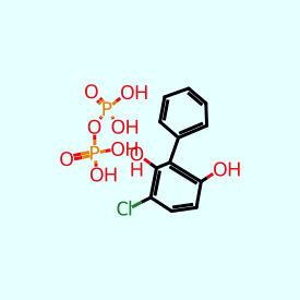 O=P(O)(O)OP(=O)(O)O.Oc1ccc(Cl)c(O)c1-c1ccccc1